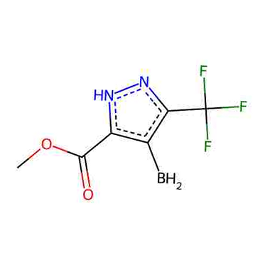 Bc1c(C(F)(F)F)n[nH]c1C(=O)OC